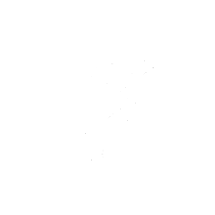 CCC[C@@H]([C@@H](OC(C)=O)[C@@H](O)OCCCC(C)(O)C(=O)[C@H](C)[C@@H](OC(C)=O)[C@@H](C)COC(=O)[C@H](C)[C@H](CC)OCC[C@H](OC)[C@@H](OC(C)=O)[C@H](C)O)N(C)C